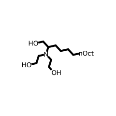 CCCCCCCCCCCCC(CO)N(CCO)CCO